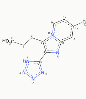 O=C(O)CCc1c(-c2nnn[nH]2)nc2cc(Cl)ccn12